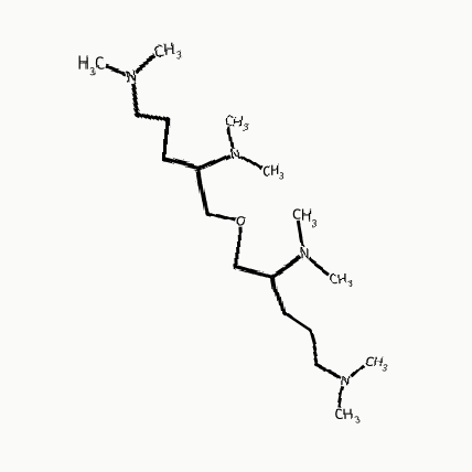 CN(C)CCCC(COCC(CCCN(C)C)N(C)C)N(C)C